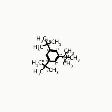 CC(C)(C)c1cc(C(C)(C)C)cc([N+](C)(C)C)c1